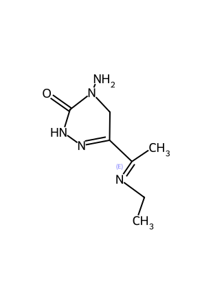 CC/N=C(\C)C1=NNC(=O)N(N)C1